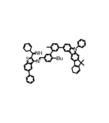 CCC(C)c1ccc(/C=N/c2c(C(=N)C3C=CC=CC3)sc3ccc(-c4ccccc4)cc23)cc1-c1cc(-c2ccc3c(c2)c2cc4c(cc2n3-c2ccccc2)C(C)(C)C2=C4CCC=C2)ccc1C